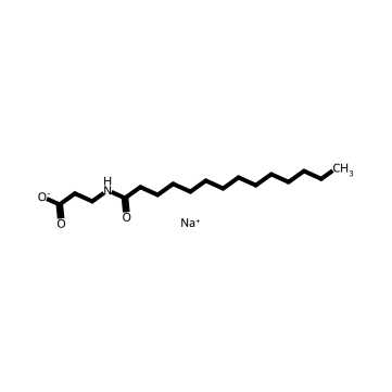 CCCCCCCCCCCCCC(=O)NCCC(=O)[O-].[Na+]